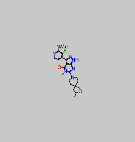 CNc1nccc(-c2n[nH]c3nc(N4CCC5(CC4)CO[C@@H](C)C5)n(C)c(=O)c23)c1Br